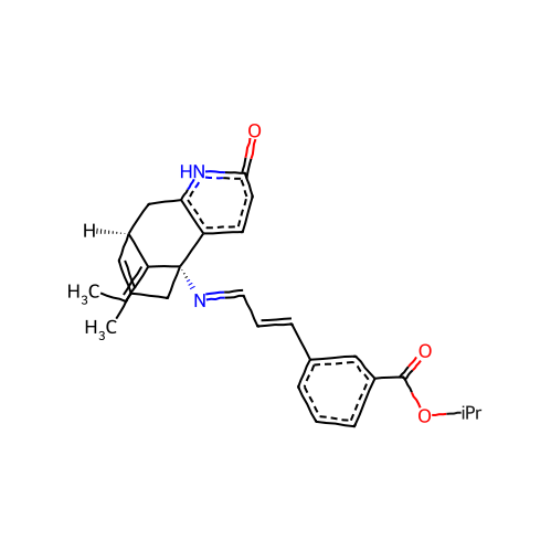 C/C=C1\[C@H]2C=C(C)C[C@]1(/N=C/C=C/c1cccc(C(=O)OC(C)C)c1)c1ccc(=O)[nH]c1C2